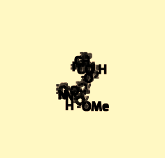 COc1ccc(C(=O)Nc2ccccn2)c(C2CCC(COc3cccc([C@H](C4CC4)C(C)(F)C(=O)O)c3)CC2)c1